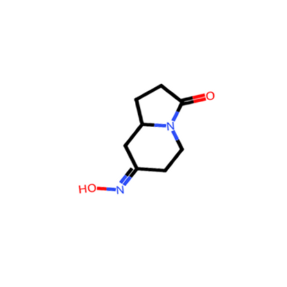 O=C1CCC2C/C(=N\O)CCN12